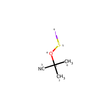 CC(C)(C#N)OSI